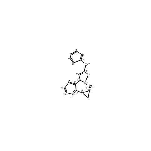 CC(C)(C)N1CC(Oc2ccccc2)=CC1c1ccccc1C1CC1